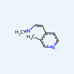 C=N/C=C\c1ccncc1C